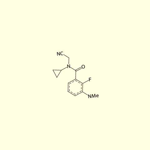 CNc1cccc(C(=O)N(CC#N)C2CC2)c1F